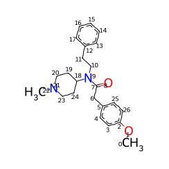 COc1ccc(CC(=O)N(CCc2ccccc2)C2CCN(C)CC2)cc1